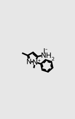 CC1=N[N+](C)(c2ccccc2)C(N)=C1.[I-]